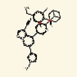 CCc1cc(F)c(C(=O)N2C3CC2CN(c2ccc(-c4cc(-c5cnn(C)c5)cn5ncc(C#N)c45)cn2)C3)c(F)c1